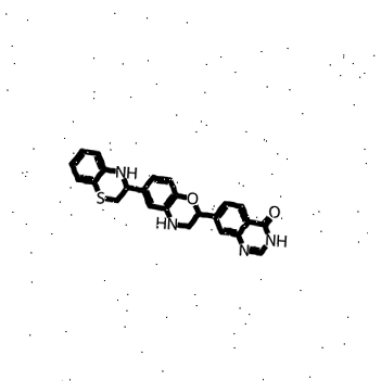 O=c1[nH]cnc2cc(C3CNc4cc(C5CSc6ccccc6N5)ccc4O3)ccc12